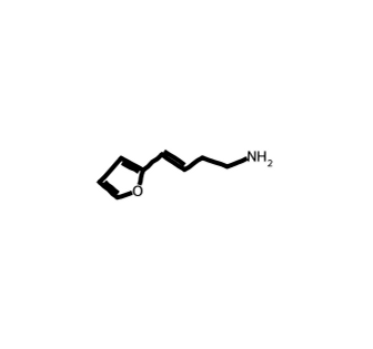 NCCC=Cc1ccco1